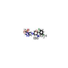 CC(C)(C)N(C(=O)O)[C@H]1C[C@@H](N2Cc3ncn(S(C)(=O)=O)c3C2)CO[C@@H]1c1cc(F)ccc1F